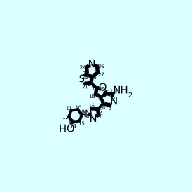 Nc1ncc(-c2cnn([C@@H]3CCC[C@H](O)C3)c2)c2cc(-c3csc4cnccc34)oc12